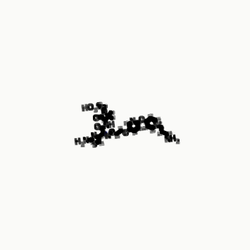 CC1(C)C(NC(=O)/C(=N\OCCOc2ccc(Oc3cc[n+](CCCN)cc3)nc2)c2csc(N)n2)C(=O)N1OS(=O)(=O)O